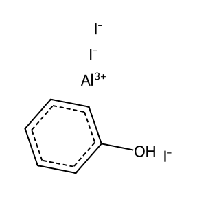 Oc1ccccc1.[Al+3].[I-].[I-].[I-]